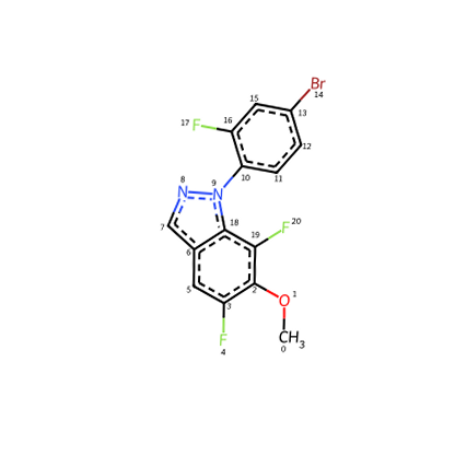 COc1c(F)cc2cnn(-c3ccc(Br)cc3F)c2c1F